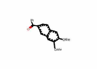 COc1cc2ccc(C(=O)C(C)C)cc2cc1OC